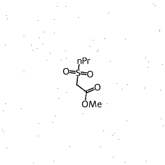 CCCS(=O)(=O)CC(=O)OC